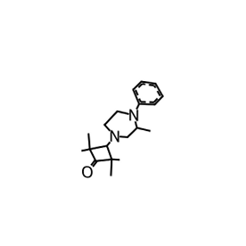 CC1CN(C2C(C)(C)C(=O)C2(C)C)CCN1c1ccccc1